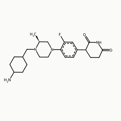 C[C@H]1CN(c2ccc(C3CCC(=O)NC3=O)cc2F)CCN1CC1CCC(N)CC1